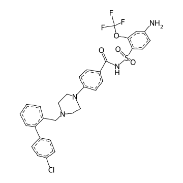 Nc1ccc(S(=O)(=O)NC(=O)c2ccc(N3CCN(Cc4ccccc4-c4ccc(Cl)cc4)CC3)cc2)c(OC(F)(F)F)c1